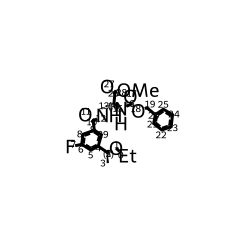 CCO[C@@H](C)c1cc(F)cc(C(=O)NC[C@@H](NC(=O)OCc2ccccc2)C(=O)OC)c1